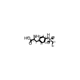 NC(Cc1ccc(NS(=O)(=O)CI)cc1)C(=O)O